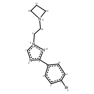 Brc1ccc(-c2ncn(CCN3CCC3)n2)cc1